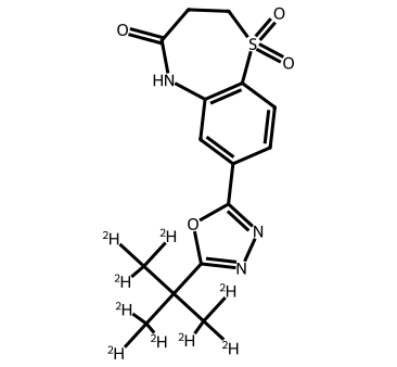 [2H]C([2H])([2H])C(c1nnc(-c2ccc3c(c2)NC(=O)CCS3(=O)=O)o1)(C([2H])([2H])[2H])C([2H])([2H])[2H]